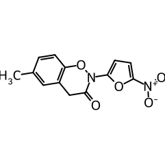 Cc1ccc2c(c1)CC(=O)N(c1ccc([N+](=O)[O-])o1)O2